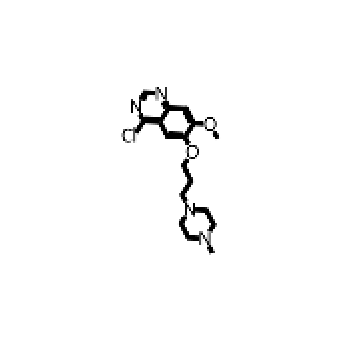 COc1cc2ncnc(Cl)c2cc1OCCCN1CCN(C)CC1